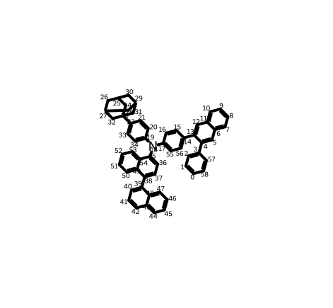 c1ccc(-c2cc3ccccc3cc2-c2ccc(N(c3ccc(C45CC6CC(CC(C6)C4)C5)cc3)c3ccc(-c4cccc5ccccc45)c4ccccc34)cc2)cc1